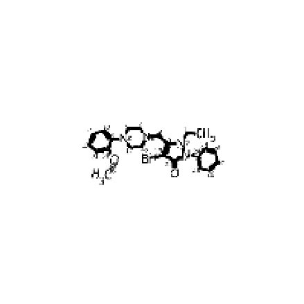 CCn1c(CN2CCN(c3ccccc3OC)CC2)c(Br)c(=O)n1-c1ccccc1